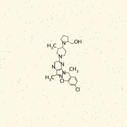 Cc1nn([C@H](C)c2ccc(Cl)cc2Cl)c2nc(N3CCC(N4CCCC4CO)[C@@H](C)C3)cnc12